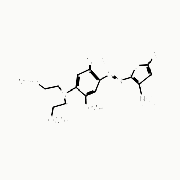 COCCN(CCOC)c1cc(NC(C)=O)c(N=Nc2sc(C(C)=O)cc2[N+](=O)[O-])cc1OC